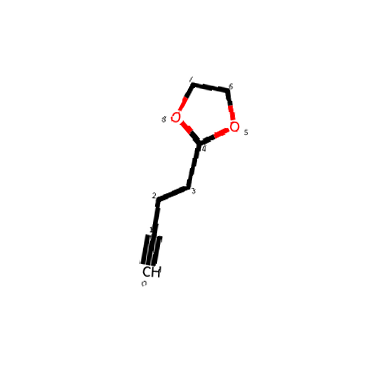 C#CCCC1OCCO1